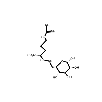 N=C(N)NCCC[C@H](NNC[C@H]1O[C@H](O)[C@@H](O)[C@@H](O)[C@@H]1O)C(=O)O